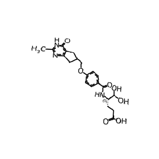 Cc1nc2c(c(=O)[nH]1)CC(COc1ccc(C(=O)N[C@@H](CCC(=O)O)C(O)O)cc1)C2